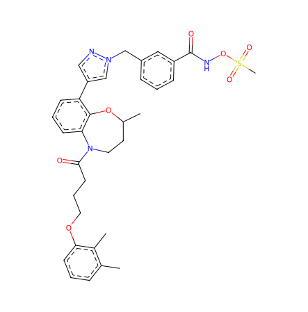 Cc1cccc(OCCCC(=O)N2CCC(C)Oc3c(-c4cnn(Cc5cccc(C(=O)NOS(C)(=O)=O)c5)c4)cccc32)c1C